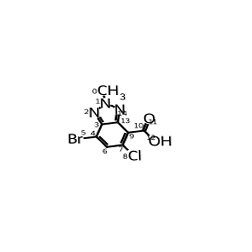 Cn1nc2c(Br)cc(Cl)c(C(=O)O)c2n1